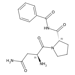 NC(=O)C[C@H](N)C(=O)N1CCC[C@H]1C(=O)NC(=O)c1ccccc1